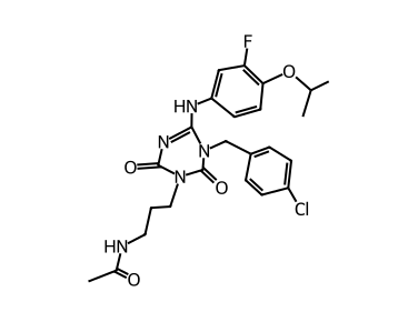 CC(=O)NCCCn1c(=O)nc(Nc2ccc(OC(C)C)c(F)c2)n(Cc2ccc(Cl)cc2)c1=O